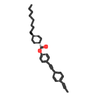 CC#Cc1ccc(C#Cc2ccc(OC(=O)[C@H]3CC[C@H](CCCCCCCC)CC3)cc2)cc1